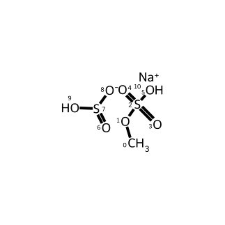 COS(=O)(=O)O.O=S([O-])O.[Na+]